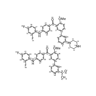 COc1ccc(-c2ccnc(N3CCNCC3)n2)cc1C(=O)c1ccc(Nc2ccc(F)cc2F)nc1.COc1ccc(-c2ccnc([S+](C)[O-])n2)cc1C(=O)c1ccc(Nc2ccc(F)cc2F)nc1